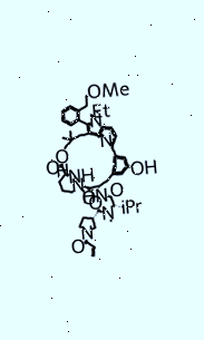 C=CC(=O)N1CC[C@H](C(=O)N(C)[C@H](C(=O)N[C@H]2Cc3cc(O)cc(c3)-c3ccc4c(n3)c(c(-c3ccccc3CCOC)n4CC)CC(C)(C)COC(=O)[C@@H]3CCCN(N3)C2=O)C(C)C)C1